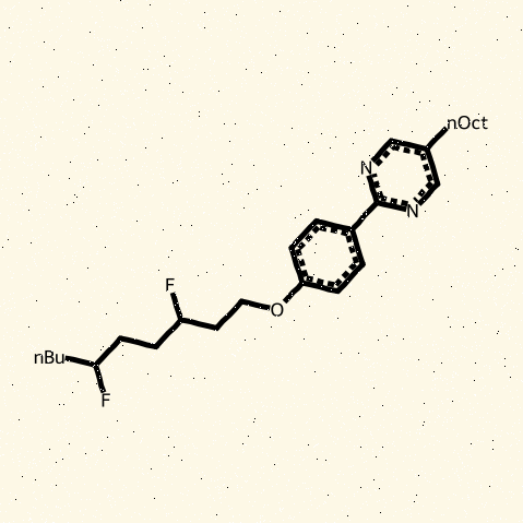 CCCCCCCCc1cnc(-c2ccc(OCCC(F)CCC(F)CCCC)cc2)nc1